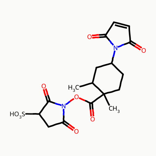 CC1CC(N2C(=O)C=CC2=O)CCC1(C)C(=O)ON1C(=O)CC(S(=O)(=O)O)C1=O